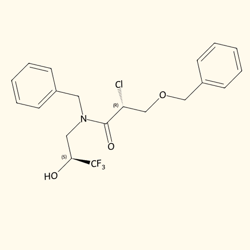 O=C([C@H](Cl)COCc1ccccc1)N(Cc1ccccc1)C[C@H](O)C(F)(F)F